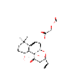 C=C[C@@]1(C)CC(=O)[C@@]2(O)[C@](C)(O1)[C@@H](OC(=O)COC=O)C=C1C(C)(C)CC[C@H](O)[C@@]12C